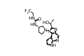 C[C@H](O)c1nc2cnc3[nH]ccc3c2n1N1CC[C@@H](NC(=O)NCC(F)(F)F)C1